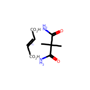 CC(C)(C(N)=O)C(N)=O.O=C(O)/C=C/C(=O)O